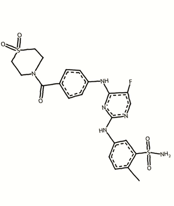 Cc1ccc(Nc2ncc(F)c(Nc3ccc(C(=O)N4CCS(=O)(=O)CC4)cc3)n2)cc1S(N)(=O)=O